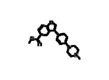 COC(=O)c1ccc2occ(-c3ccc(N4CCN(C)CC4)cc3)c2c1